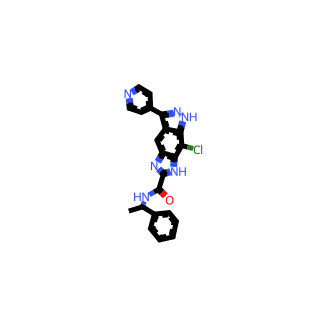 CC(NC(=O)c1nc2cc3c(-c4ccncc4)n[nH]c3c(Cl)c2[nH]1)c1ccccc1